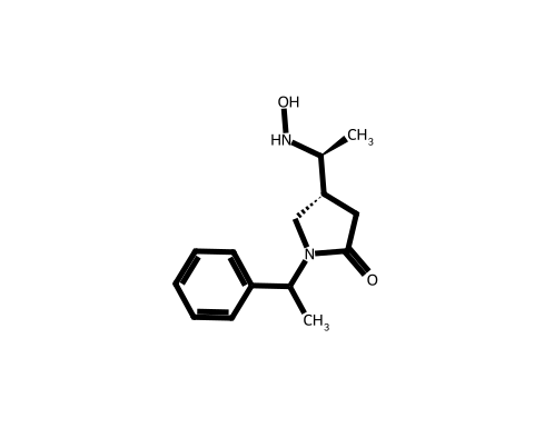 CC(c1ccccc1)N1C[C@H]([C@H](C)NO)CC1=O